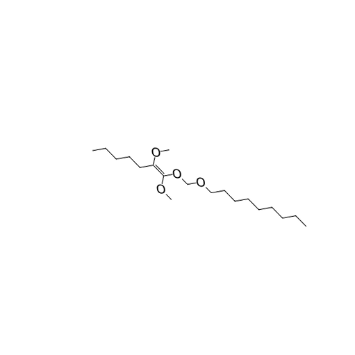 CCCCCCCCCOCO/C(OC)=C(/CCCCC)OC